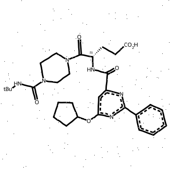 CC(C)(C)NC(=O)N1CCN(C(=O)[C@H](CCC(=O)O)NC(=O)c2cc(OC3CCCC3)nc(-c3ccccc3)n2)CC1